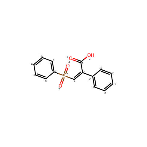 O=C(O)C(=CS(=O)(=O)c1ccccc1)c1ccccc1